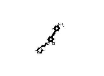 Nc1ccc(C#Cc2ccc(OCCCN3CCOCC3)c(Cl)c2)cc1